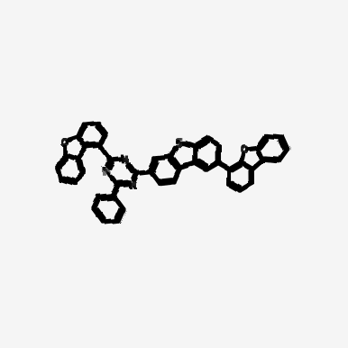 c1ccc(-c2nc(-c3ccc4c(c3)sc3ccc(-c5cccc6c5oc5ccccc56)cc34)nc(-c3cccc4oc5ccccc5c34)n2)cc1